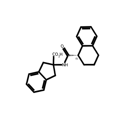 O=C(NC1(C(=O)O)Cc2ccccc2C1)[C@H]1CCCc2ccccc21